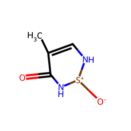 CC1=CN[S+]([O-])NC1=O